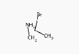 CCBr.CN